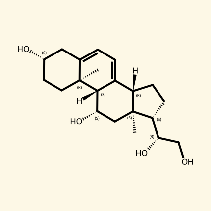 C[C@]12C[C@H](O)[C@H]3C(=CC=C4C[C@@H](O)CC[C@@]43C)[C@@H]1CC[C@@H]2[C@@H](O)CO